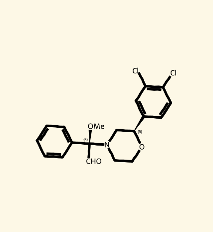 CO[C@@](C=O)(c1ccccc1)N1CCO[C@H](c2ccc(Cl)c(Cl)c2)C1